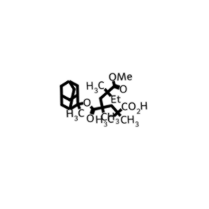 CCC(C)(CC(C)(CC(C)(C)C(=O)O)C(=O)OC1(C)C2CC3CC(C2)CC1C3)C(=O)OC